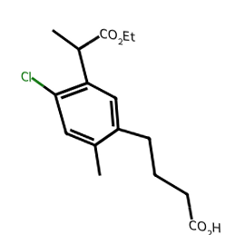 CCOC(=O)C(C)c1cc(CCCC(=O)O)c(C)cc1Cl